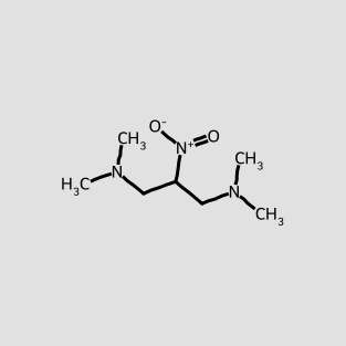 CN(C)CC(CN(C)C)[N+](=O)[O-]